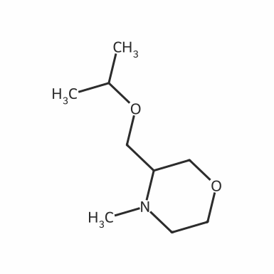 CC(C)OCC1COCCN1C